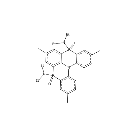 CCN(CC)P1(=O)c2cc(C)ccc2N2c3ccc(C)cc3P(=O)(N(CC)CC)c3cc(C)cc1c32